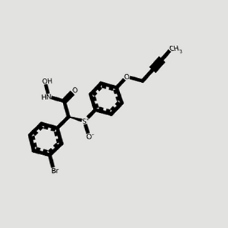 CC#CCOc1ccc([S+]([O-])[C@H](C(=O)NO)c2cccc(Br)c2)cc1